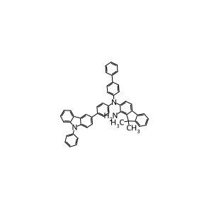 CC1(C)c2ccccc2-c2ccc(N(c3ccc(-c4ccccc4)cc3)c3ccc(-c4ccc5c(c4)c4ccccc4n5-c4ccccc4)cc3)c(N)c21